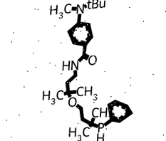 CN(c1ccc(C(=O)NCCC(C)(C)OCCC(C)(C)Pc2ccccc2)cc1)C(C)(C)C